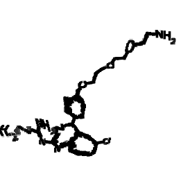 NCCOCCOCCOc1ccc(-c2nc(N=C(N)N)nc3ccc(Cl)cc23)cc1